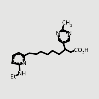 CCNc1cccc(CCCCCCC(CC(=O)O)c2cnc(C)nc2)n1